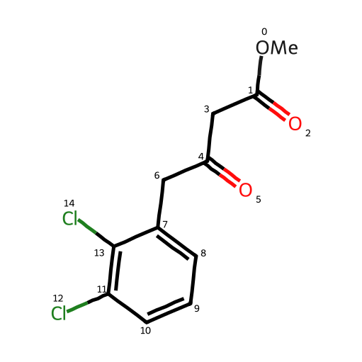 COC(=O)CC(=O)Cc1cccc(Cl)c1Cl